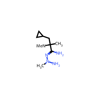 CNC(C)(CC1CC1)/C(N)=N/N(C)N